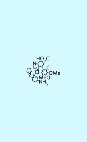 COc1cc(OC)c(Cl)c(-c2ccc(C(=O)O)c3nccnc23)c1Cl.Nc1ccc(CN2CCCC2)nc1